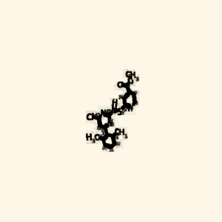 COC(=O)c1ccnc(SNc2nc(Cl)cc(-c3c(C)cccc3C)n2)c1